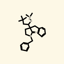 C[SiH](C)OC(CC(C)(C)C)C1(Cc2ccccc2)CCN(Cc2ccccc2)C1=O